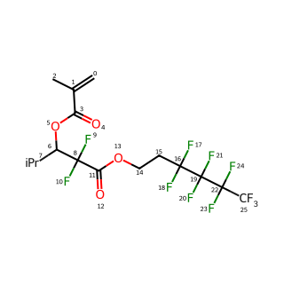 C=C(C)C(=O)OC(C(C)C)C(F)(F)C(=O)OCCC(F)(F)C(F)(F)C(F)(F)C(F)(F)F